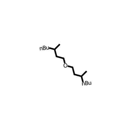 CCCCC(C)CCOCCC(C)CCCC